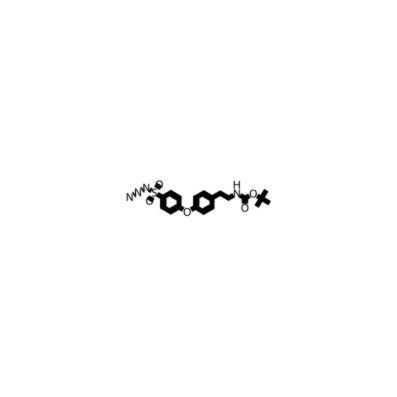 CC(C)(C)OC(=O)NCCc1ccc(Oc2ccc(S(=O)(=O)N=[N+]=[N-])cc2)cc1